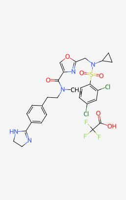 CN(CCc1ccc(C2=NCCN2)cc1)C(=O)c1coc(CN(C2CC2)S(=O)(=O)c2ccc(Cl)cc2Cl)n1.O=C(O)C(F)(F)F